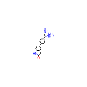 N/C=C(\NN)c1ccc(-c2ccc3c(c2)CC(=O)N3)cc1